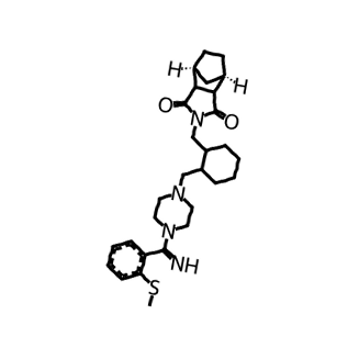 CSc1ccccc1C(=N)N1CCN(CC2CCCCC2CN2C(=O)C3C(C2=O)[C@H]2CC[C@@H]3C2)CC1